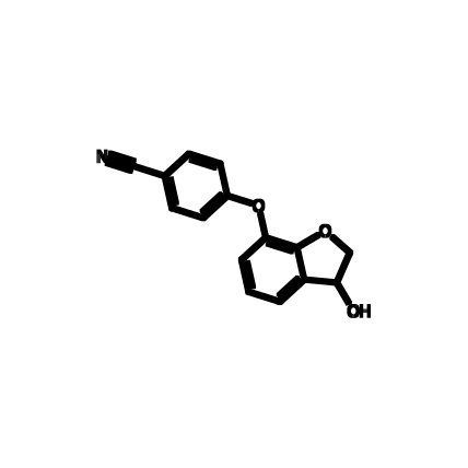 N#Cc1ccc(Oc2cccc3c2OCC3O)cc1